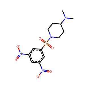 CN(C)C1CCN(S(=O)(=O)c2[c]c([N+](=O)[O-])cc([N+](=O)[O-])c2)CC1